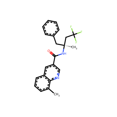 Cc1cccc2cc(C(=O)N[C@@](C)(Cc3ccccc3)CC(F)(F)F)cnc12